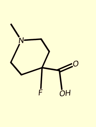 CN1CCC(F)(C(=O)O)CC1